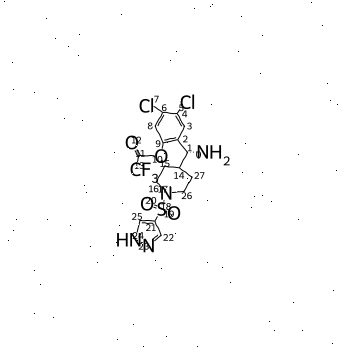 N[C@@H](c1cc(Cl)c(Cl)cc1OC(=O)C(F)(F)F)C1CCN(S(=O)(=O)c2cn[nH]c2)CC1